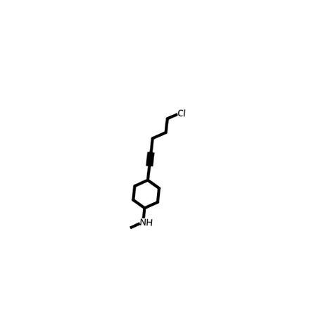 CNC1CCC(C#CCCCCl)CC1